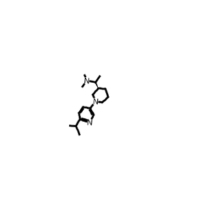 CC(C)c1ccc(N2CCC[C@H](C(C)N(C)C)C2)cn1